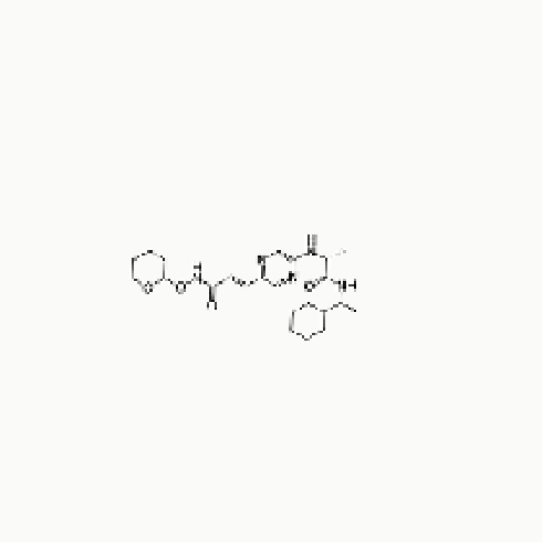 C[C@H](NC(=O)[C@@H](C)Nc1cnc(/C=C/C(=O)NOC2CCCCO2)cn1)C1CCCCC1